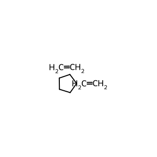 C1CCCC1.C=C.C=C